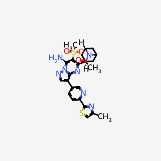 CC(=O)N1C2C[C@@H](c3nc4c(-c5ccc(-c6nc(C)cs6)nc5)cnn4c(N)c3S(C)(=O)=O)C[C@@H]1C2